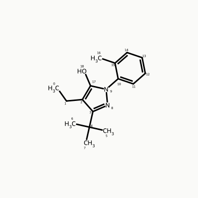 CCc1c(C(C)(C)C)nn(-c2ccccc2C)c1O